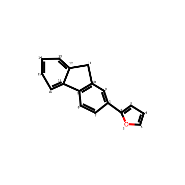 [c]1c(-c2ccco2)ccc2c1Cc1ccccc1-2